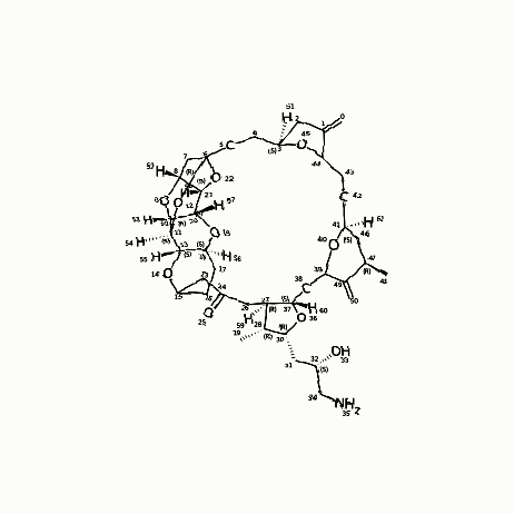 C=C1C[C@@H]2CCC34C[C@H]5O[C@H]6[C@@H](O3)[C@H]3OC(CC[C@@H]3O[C@H]6[C@H]5O4)CC(=O)C[C@@H]3[C@@H](C)[C@@H](C[C@H](O)CN)O[C@H]3CC3O[C@@H](CCC1O2)C[C@@H](C)C3=C